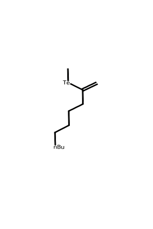 C=C(CCCCCCCC)[Te]C